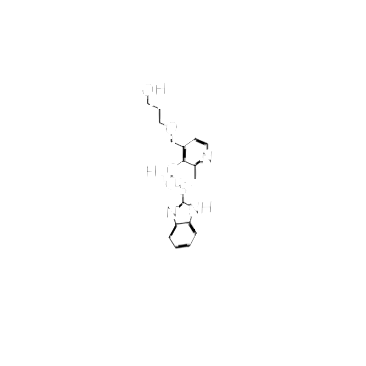 Cc1c(COCCCO)ccnc1C[S+]([O-])c1nc2ccccc2[nH]1